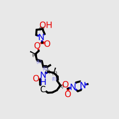 C/C(=C\C=C\[C@@H](C)COC(=O)N1CC[C@@H](O)C1)[C@H]1NC(=O)CCCCC[C@@H](OC(=O)N2CCN(C)CC2)/C=C/[C@@H]1C